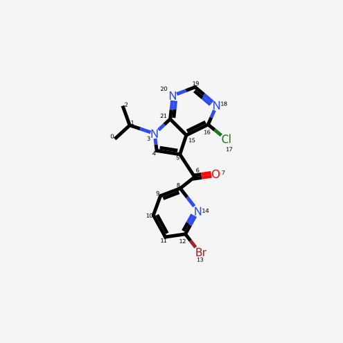 CC(C)n1cc(C(=O)c2cccc(Br)n2)c2c(Cl)ncnc21